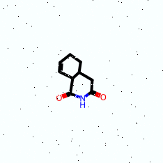 O=C1CC2CCC=CC2C(=O)N1